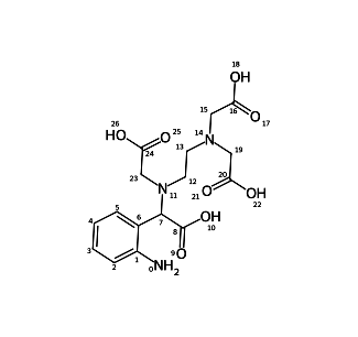 Nc1ccccc1C(C(=O)O)N(CCN(CC(=O)O)CC(=O)O)CC(=O)O